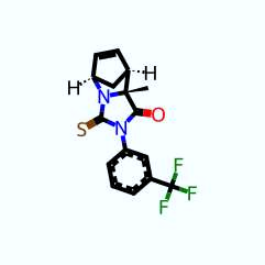 C[C@@]12C(=O)N(c3cccc(C(F)(F)F)c3)C(=S)N1[C@H]1C=C[C@@H]2C1